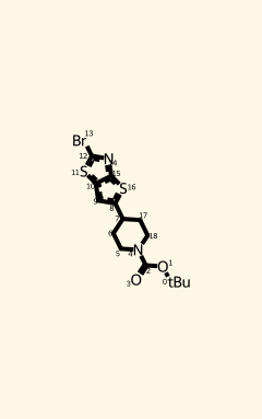 CC(C)(C)OC(=O)N1CCC(c2cc3sc(Br)nc3s2)CC1